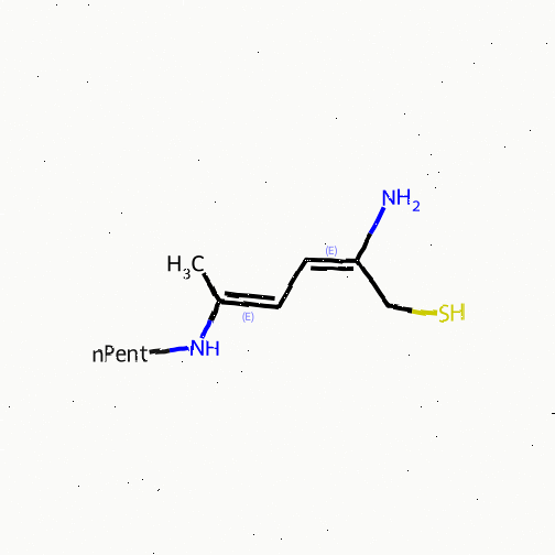 CCCCCN/C(C)=C/C=C(/N)CS